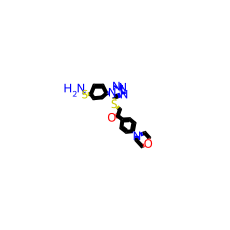 NSC1C=CC(n2nnnc2SCC(=O)c2ccc(N3CCOCC3)cc2)CC1